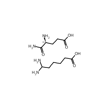 NC(=O)[C@@H](N)CCC(=O)O.NC(N)CCCCC(=O)O